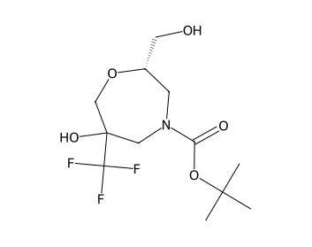 CC(C)(C)OC(=O)N1C[C@@H](CO)OCC(O)(C(F)(F)F)C1